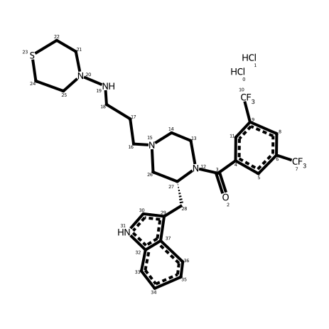 Cl.Cl.O=C(c1cc(C(F)(F)F)cc(C(F)(F)F)c1)N1CCN(CCCNN2CCSCC2)C[C@H]1Cc1c[nH]c2ccccc12